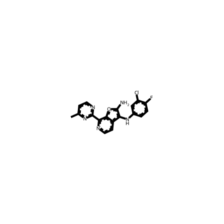 Cc1ccnc(-c2nccc3c(Nc4ccc(F)c(Cl)c4)c(N)oc23)n1